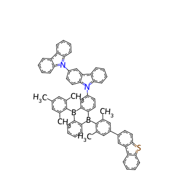 Cc1cc(C)c(B2c3ccccc3B(c3c(C)cc(-c4ccc5sc6ccccc6c5c4)cc3C)c3ccc(-n4c5ccccc5c5cc(-n6c7ccccc7c7ccccc76)ccc54)cc32)c(C)c1